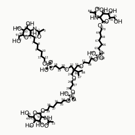 CC(=O)NC1C(CCCCCCCOP(=O)(O)OCCCOCC(COCCCOP(=O)(O)OCCCCCCOC2OC(CO)C(O)C(O)C2NC(C)=O)(COCCCOP(=O)(O)OCCCCCCOC2OC(CO)C(O)C(O)C2NC(C)=O)C(C)C)OC(CO)C(O)C1O